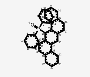 O=P(c1ccccc1)(c1ccccc1)c1c2ccc3ccccc3c2cc2ccc3ccccc3c12